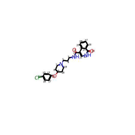 O=C(NCCCN1CCC(Oc2ccc(Cl)cc2)CC1)c1c[nH]c(=O)c2ccccc12